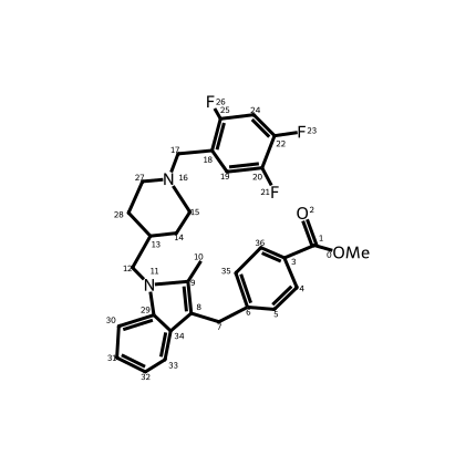 COC(=O)c1ccc(Cc2c(C)n(CC3CCN(Cc4cc(F)c(F)cc4F)CC3)c3ccccc23)cc1